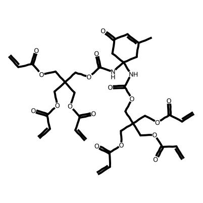 C=CC(=O)OCC(COC(=O)C=C)(COC(=O)C=C)COC(=O)NC1(NC(=O)OCC(COC(=O)C=C)(COC(=O)C=C)COC(=O)C=C)CC(=O)C=C(C)C1